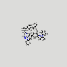 CC1(C)c2ccccc2-c2ccc(-c3cccc(-c4ccnc(-n5c6ccccc6c6cc(-c7ccc8c(c7)c7ccccc7n8-c7ccccc7)ccc65)n4)c3)cc21